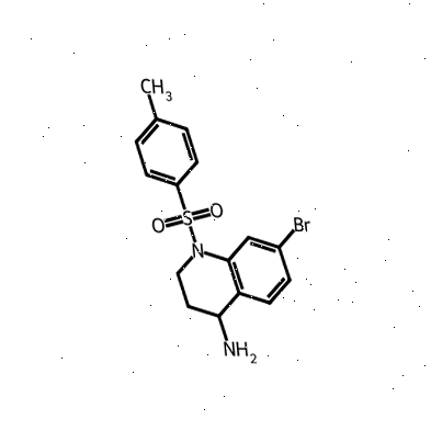 Cc1ccc(S(=O)(=O)N2CCC(N)c3ccc(Br)cc32)cc1